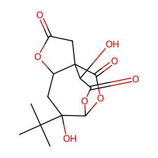 CC(C)(C)C1(O)CC2OC(=O)CC23C(=O)OC1OC(=O)C3O